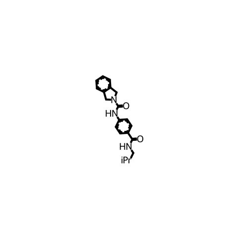 CC(C)CNC(=O)c1ccc(NC(=O)N2Cc3ccccc3C2)cc1